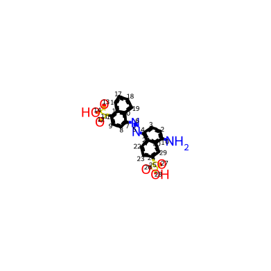 Nc1ccc(N=Nc2ccc(S(=O)(=O)O)c3ccccc23)c2ccc(S(=O)(=O)O)cc12